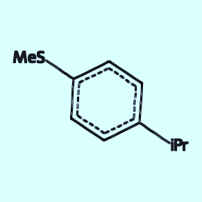 CSc1ccc(C(C)C)cc1